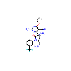 CCOc1nc(N)nc([C@](N)(CCCN)C(=O)Nc2cccc(C(F)(F)F)c2)c1C#N